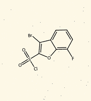 O=S(=O)(Cl)c1oc2c(F)cccc2c1Br